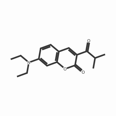 CCN(CC)c1ccc2cc(C(=O)C(C)C)c(=O)oc2c1